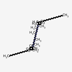 CCCCCCCCCCCCCCCCCC(=O)OC1CC(C)=C(/C=C/C(C)=C/C=C/C(C)=C/C=C/C=C(C)/C=C/C=C(C)/C=C/C2C(C)=C[C@H](OC(=O)CCCCCCCCCCCCCCCC)CC2(C)C)C(C)(C)C1